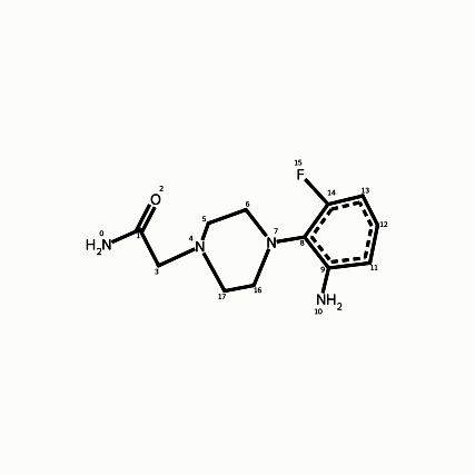 NC(=O)CN1CCN(c2c(N)cccc2F)CC1